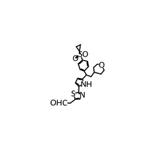 O=CCc1cnc(-c2ccc(C(CC3CCOCC3)c3ccc(S(=O)(=O)C4CC4)cc3)[nH]2)s1